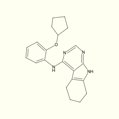 c1ccc(OC2CCCC2)c(Nc2ncnc3[nH]c4c(c23)CCCC4)c1